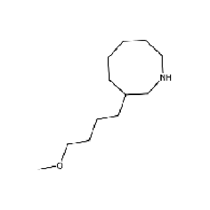 COCCCCC1CCCCCNC1